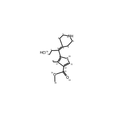 CCC(=C1CCNCC1)c1scc(C(=O)OC)c1C.Cl